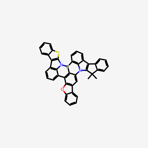 CC1(C)c2ccccc2-c2c1n1c3c(cccc23)B2c3c-1cc1c(oc4ccccc41)c3-c1cccc3c4c5ccccc5sc4n2c13